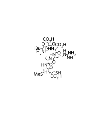 CC[C@H](C)[C@H](N)C(=O)N[C@@H](CCC(=O)O)C(=O)N[C@@H](CC(=O)O)C(=O)N[C@@H](CCCNC(=N)N)C(=O)N1CCC[C@H]1C(=O)N[C@@H](CCSC)C(=O)N[C@@H](CS)C(=O)O